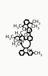 C=C1CC2c3ccccc3-c3ccc(C)c[n+]3C2CCc2ccc3c(oc4nc(-c5c(C(C)C)cccc5C(C)C)ccc43)c2-c2cc(C)c(CC(C)C)c[n+]21